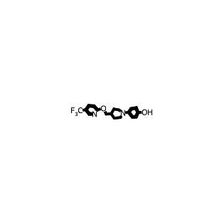 Oc1ccc(N2CCC(COc3ccc(C(F)(F)F)cn3)CC2)cc1